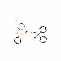 CON1CCN(C(=S)SCCC(C#N)(c2ccccc2)c2ccccc2)C(S(=O)(=O)c2ccccc2)C1